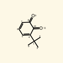 CC(C)(C)C1=CC=CC(=O)C1=O